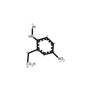 CC(C)Nc1ccc([N+](=O)[O-])cc1CC(=O)O